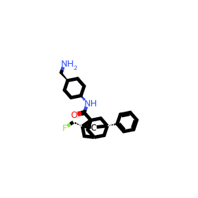 NC[C@H]1CC[C@@H](NC(=O)C23CC4C[C@](c5ccccc5)(C2)C[C@@]3(CF)C4)CC1